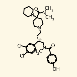 CN(C)C(=O)C1(N2CCCCC2)CCN(CC[C@H](CN(C)C(=O)c2ccc(O)cc2)c2ccc(Cl)c(Cl)c2)CC1